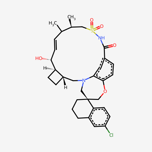 CC1/C=C/[C@@H](O)[C@@H]2CC[C@H]2CN2C[C@@]3(CCCc4cc(Cl)ccc43)COc3ccc(cc32)C(=O)NS(=O)(=O)C[C@@H]1C